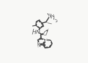 Cc1ccc([C@H](C)N)cc1NC(=O)c1cnc2ccccn12